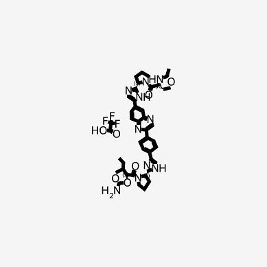 CCC(C)[C@H](OC(N)=O)C(=O)N1CCC[C@H]1c1nc(-c2ccc(-c3cnc4cc(-c5cnc([C@@H]6CCCN6C(=O)[C@@H](CC)NC(C)=O)[nH]5)ccc4n3)cc2)c[nH]1.O=C(O)C(F)(F)F